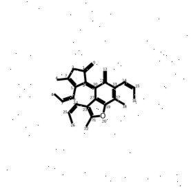 C=C1CC(C)=C(/C=C\C)/C1=c1/c(=C)c(/C=C\C)c(C)c2oc(C)c(/C=C\C)c12